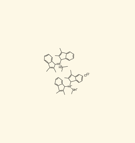 CC1=C(C)[CH]([Hf+]([CH]2C(C)=C(C)c3ccccc32)[SiH](C)C)c2ccccc21.CC1=C(C)[CH]([Hf+]([CH]2C(C)=C(C)c3ccccc32)[SiH](C)C)c2ccccc21.[Cl-].[Cl-]